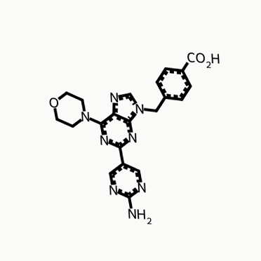 Nc1ncc(-c2nc(N3CCOCC3)c3ncn(Cc4ccc(C(=O)O)cc4)c3n2)cn1